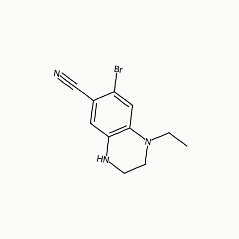 CCN1CCNc2cc(C#N)c(Br)cc21